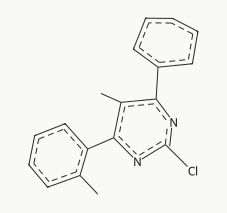 Cc1ccccc1-c1nc(Cl)nc(-c2ccccc2)c1C